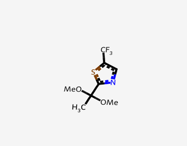 COC(C)(OC)c1ncc(C(F)(F)F)s1